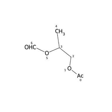 CC(=O)OCC(C)OC=O